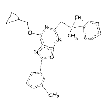 Cc1cccc(-c2nc3c(OCC4CC4)nc(CC(C)(C)c4ccccc4)nc3o2)c1